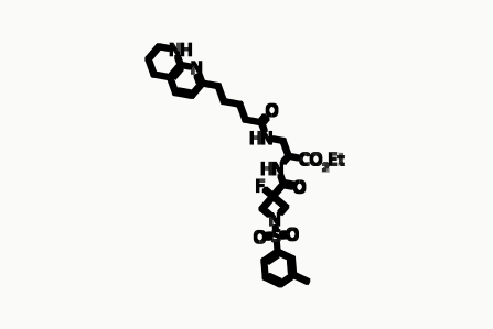 CCOC(=O)C(CNC(=O)CCCCc1ccc2c(n1)NCCC2)NC(=O)C1(F)CN(S(=O)(=O)c2cccc(C)c2)C1